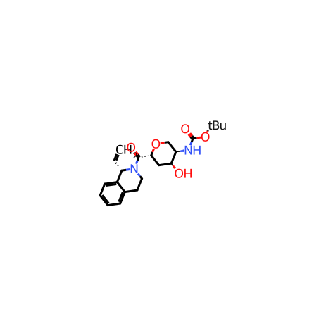 C=C[C@H]1c2ccccc2CCN1C(=O)[C@H]1C[C@H](O)[C@H](NC(=O)OC(C)(C)C)CO1